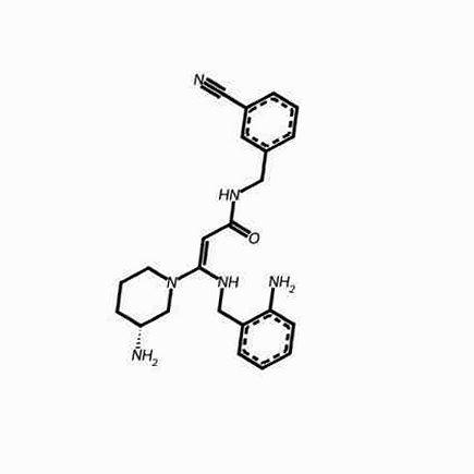 N#Cc1cccc(CNC(=O)/C=C(\NCc2ccccc2N)N2CCC[C@@H](N)C2)c1